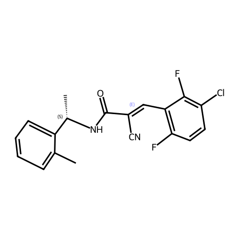 Cc1ccccc1[C@H](C)NC(=O)/C(C#N)=C/c1c(F)ccc(Cl)c1F